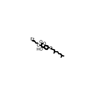 CC/C=C/CCOc1c(O)c2ccc(OC/C=C(\C)CCC=C(C)C)cc2oc1=O